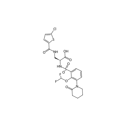 O=C(NC[C@H](NS(=O)(=O)c1cccc(N2CCCCC2=O)c1OC(F)F)C(=O)O)c1ccc(Cl)s1